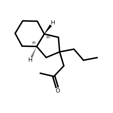 CCCC1(CC(C)=O)C[C@H]2CCCC[C@@H]2C1